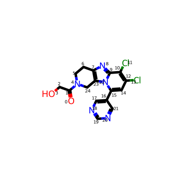 O=C(CO)N1CCc2nc3c(Cl)c(Cl)cc(-c4cncnc4)n3c2C1